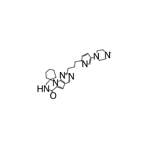 CN1CCN(c2ccc(CCCc3ncc4cc5n(c4n3)C3(CCCCC3)CNC5=O)nc2)CC1